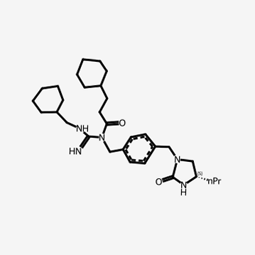 CCC[C@H]1CN(Cc2ccc(CN(C(=N)NCC3CCCCC3)C(=O)CCC3CCCCC3)cc2)C(=O)N1